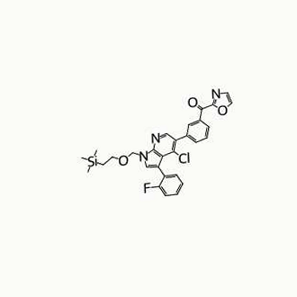 C[Si](C)(C)CCOCn1cc(-c2ccccc2F)c2c(Cl)c(-c3cccc(C(=O)c4ncco4)c3)cnc21